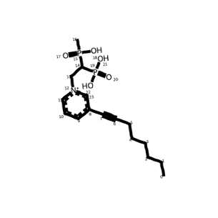 CCCCCCC#Cc1ccc[n+](CC(P(C)(=O)O)P(=O)(O)O)c1